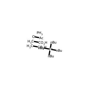 CC(=O)O.CC(=O)O.CC(=O)[O-].CCCC[P+](CCCC)(CCCC)CCCC.P